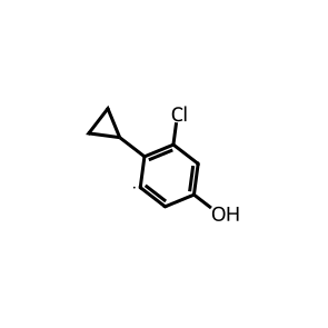 Oc1c[c]c(C2CC2)c(Cl)c1